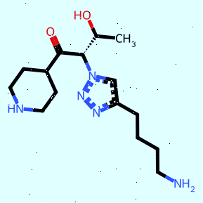 CC(O)[C@@H](C(=O)C1CCNCC1)n1cc(CCCCN)nn1